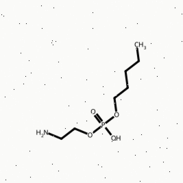 CCCCCOP(=O)(O)OCCN